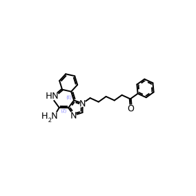 C/C(N)=c1/ncn(CCCCCC(=O)c2ccccc2)/c1=C1\C=CC=CC1=N